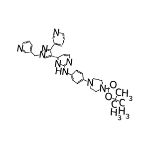 CC(C)(C)OC(=O)N1CCN(c2ccc(Nc3nccc(-c4cn(Cc5cccnc5)nc4-c4cccnc4)n3)cc2)CC1